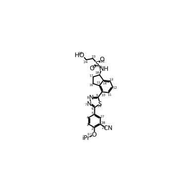 CC(C)Oc1ccc(-c2nnc(-c3cccc4c3CC[C@H]4NS(=O)(=O)CCO)s2)cc1C#N